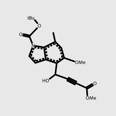 COC(=O)C#CC(O)c1c(OC)cc(C)c2c1ccn2C(=O)OC(C)(C)C